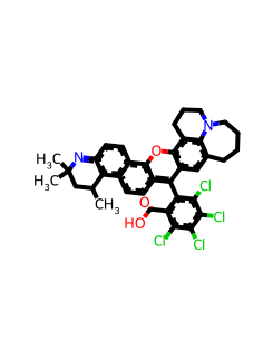 CC1CC(C)(C)N=c2ccc3c4c(ccc3c21)=C(c1c(Cl)c(Cl)c(Cl)c(Cl)c1C(=O)O)c1cc2c3c(c1O4)CCCN3CCCC2